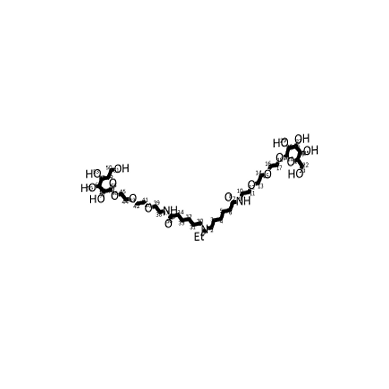 CCN(CCCCCC(=O)NCCOCCOCCO[C@H]1OC(CO)[C@@H](O)C(O)[C@H]1O)CCCCCC(=O)NCCOCCOCCO[C@H]1OC(CO)[C@@H](O)C(O)[C@H]1O